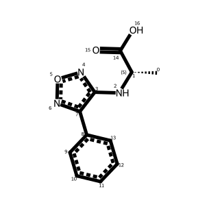 C[C@H](Nc1nonc1-c1ccccc1)C(=O)O